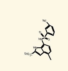 CCOC(=O)c1cc2c(C)ccc(NS(=O)(=O)c3cccc(C#N)c3)c2[nH]1